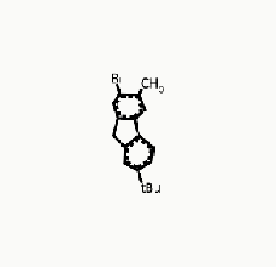 Cc1cc2c(cc1Br)Cc1cc(C(C)(C)C)ccc1-2